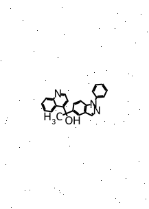 CC(O)(c1ccc2c(cnn2-c2ccccc2)c1)c1ccnc2ccccc12